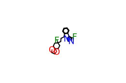 Fc1ncn2c1-c1ccccc1C2CCC1(F)CCC2(CC1)OCCO2